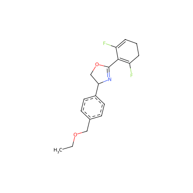 CCOCc1ccc(C2COC(C3=C(F)CCC=C3F)=N2)cc1